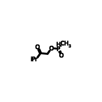 CC(C)C(=O)CO[PH](C)=O